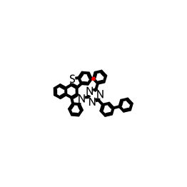 c1ccc(-c2cccc(-c3nc(-c4ccccc4)nc(-n4c5ccccc5c5c6ccccc6c6sc7ccccc7c6c54)n3)c2)cc1